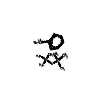 C[Si](C)(C)[N-][Si](C)(C)C.Cc1ccccc1.[Na+]